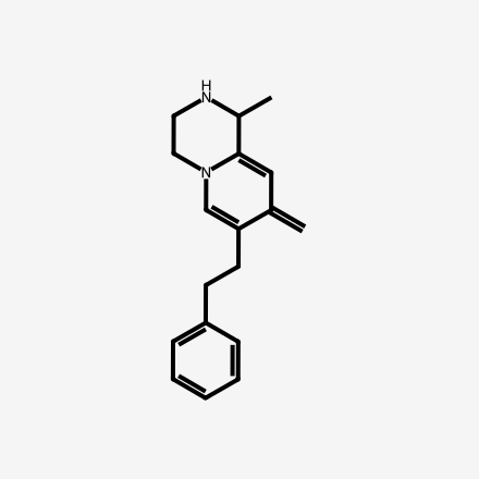 C=C1C=C2C(C)NCCN2C=C1CCc1ccccc1